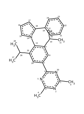 Cc1nc(C)nc(-c2cc(C(C)C)c(-n3cccc3-c3ccccc3)c(C(C)C)c2)n1